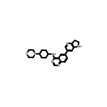 c1nc(NC2CCC(N3CCOCC3)CC2)c2cc(-c3cnc4c(c3)NCC4)ccc2n1